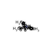 COC(=O)CCn1c(=O)[nH]/c(=N\c2nc3ccc(C)cc3s2)n(Cc2ccc(C)cc2)c1=O